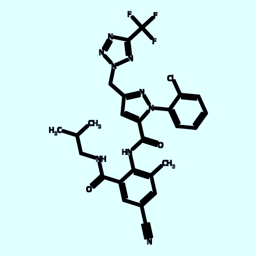 Cc1cc(C#N)cc(C(=O)NCC(C)C)c1NC(=O)c1cc(Cn2nnc(C(F)(F)F)n2)nn1-c1ccccc1Cl